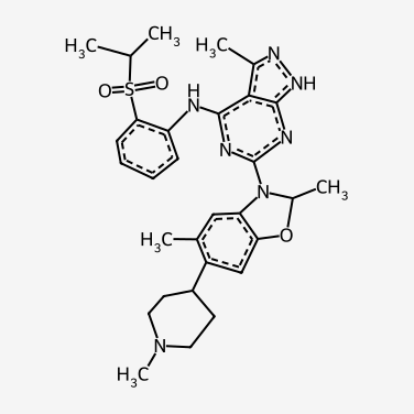 Cc1cc2c(cc1C1CCN(C)CC1)OC(C)N2c1nc(Nc2ccccc2S(=O)(=O)C(C)C)c2c(C)n[nH]c2n1